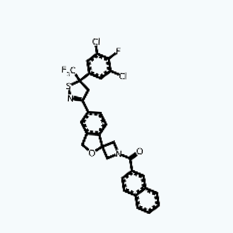 O=C(c1ccc2ccccc2c1)N1CC2(C1)OCc1cc(C3=NSC(c4cc(Cl)c(F)c(Cl)c4)(C(F)(F)F)C3)ccc12